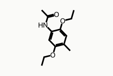 CCOc1cc(NC(C)=O)c(OCC)cc1C